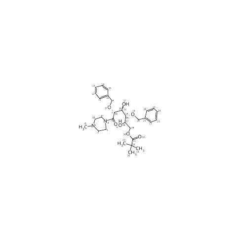 CN1CCN(C(=O)[C@H](OCc2ccccc2)[C@@H](O)[C@H](OCc2ccccc2)C(O)COC(=O)C(C)(C)C)CC1